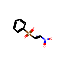 O=[N+]([O-])/C=C/S(=O)(=O)c1ccccc1